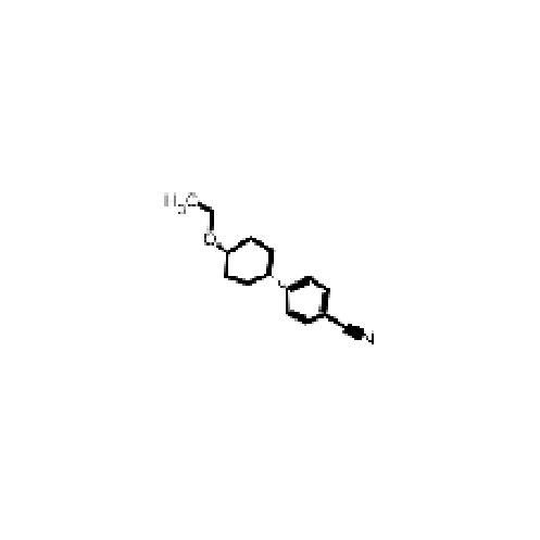 CCO[C@H]1CC[C@H](c2ccc(C#N)cc2)CC1